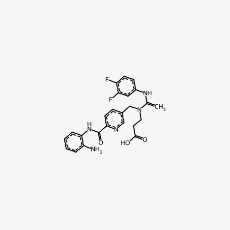 C=C(Nc1ccc(F)c(F)c1)N(CCC(=O)O)Cc1ccc(C(=O)Nc2ccccc2N)nc1